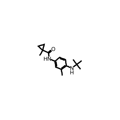 Cc1cc(NC(=O)C2(C)CC2)ccc1NC(C)(C)C